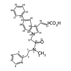 CN(CCc1ccccc1)C(=O)Cn1cc(C=CC(=O)O)c2cc(-c3ccccc3)ccc21